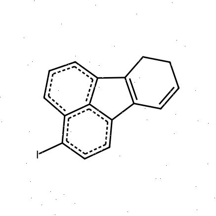 Ic1ccc2c3c(cccc13)C1=C2C=CCC1